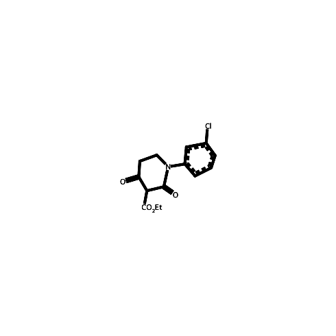 CCOC(=O)C1C(=O)CCN(c2cccc(Cl)c2)C1=O